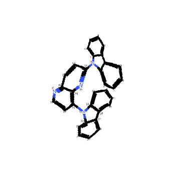 c1ccc2c(c1)c1ccccc1n2-c1ccc2nccc(-n3c4ccccc4c4ccccc43)c2n1